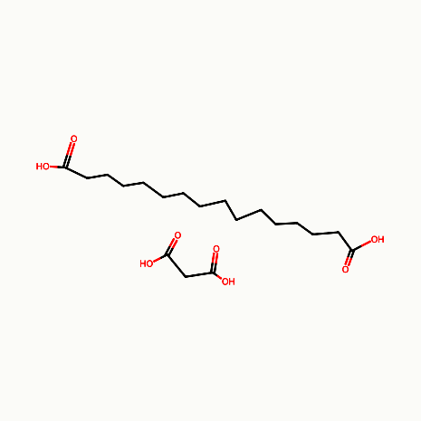 O=C(O)CC(=O)O.O=C(O)CCCCCCCCCCCCCCC(=O)O